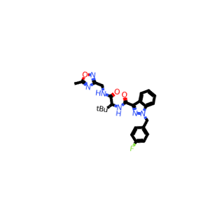 Cc1nc(CNC(=O)C(NC(=O)c2nn(Cc3ccc(F)cc3)c3ccccc23)C(C)(C)C)no1